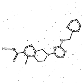 O=C(NO)c1ccc2c(c1F)CCN(c1ccnc(NCc3ccccc3)n1)C2